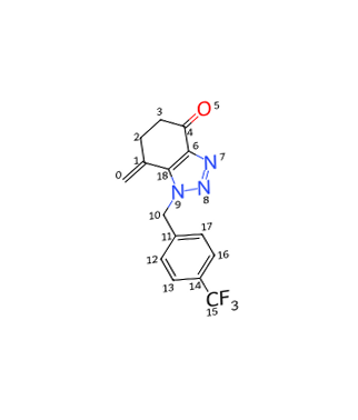 C=C1CCC(=O)c2nnn(Cc3ccc(C(F)(F)F)cc3)c21